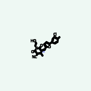 CC1=C(C#N)C(=O)N(CCO)C(=O)/C1=C\c1ccc(-c2ccc(C)c(Cl)c2)o1